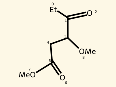 CCC(=O)C(CC(=O)OC)OC